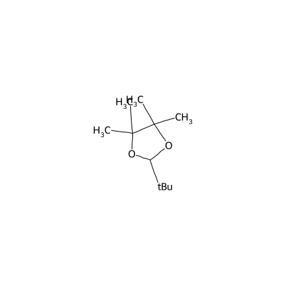 CC(C)(C)C1OC(C)(C)C(C)(C)O1